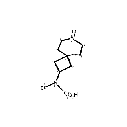 CCN(C(=O)O)C1CC2(CCNCC2)C1